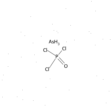 O=P(Cl)(Cl)Cl.[AsH3]